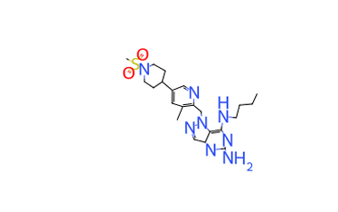 CCCCNc1nc(N)nc2cnn(Cc3ncc(C4CCN(S(C)(=O)=O)CC4)cc3C)c12